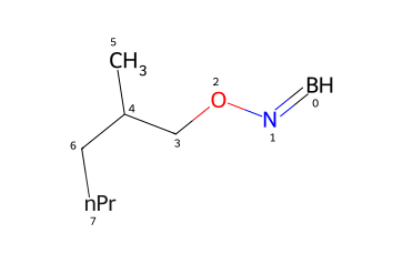 B=NOCC(C)CCCC